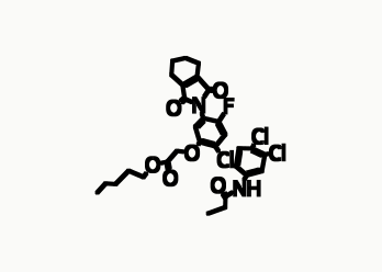 CCC(=O)Nc1ccc(Cl)c(Cl)c1.CCCCCOC(=O)COc1cc(N2C(=O)C3=C(CCCC3)C2=O)c(F)cc1Cl